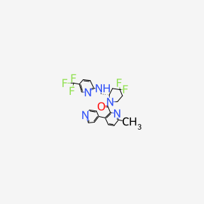 Cc1ccc(-c2ccncc2)c(C(=O)N2CCC(F)(F)C[C@H]2CNc2ccc(C(F)(F)F)cn2)n1